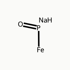 O=[P][Fe].[NaH]